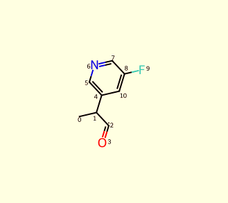 CC([C]=O)c1cncc(F)c1